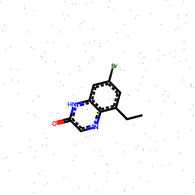 CCc1cc(Br)cc2[nH]c(=O)cnc12